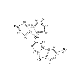 Brc1ccc2sc3ccc(-n4c5ccccc5c5ccccc54)cc3c2c1